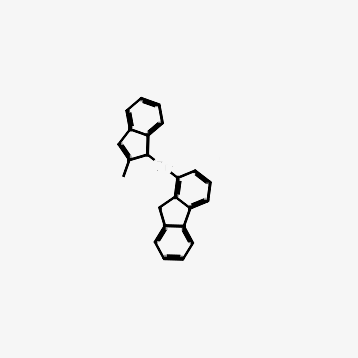 CC1=Cc2ccccc2[CH]1[Zr+2][c]1cccc2c1Cc1ccccc1-2.[Cl-].[Cl-]